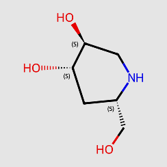 OC[C@@H]1C[C@H](O)[C@@H](O)CN1